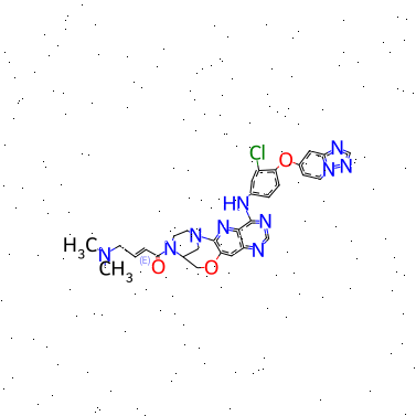 CN(C)C/C=C/C(=O)N1CCN2CC1COc1cc3ncnc(Nc4ccc(Oc5ccn6ncnc6c5)c(Cl)c4)c3nc12